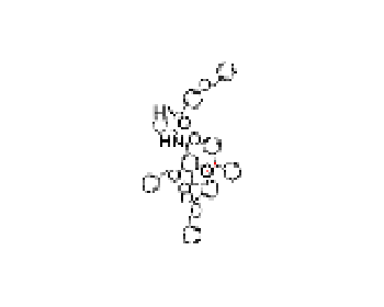 O=C(NCC1CCCC1NC(=O)c1ccc(OCc2ccccc2)cc1)c1cc(OCc2ccccc2)c(C(=O)c2c(OCc3ccccc3)cccc2C(=O)OCc2ccccc2)c(OCc2ccccc2)c1